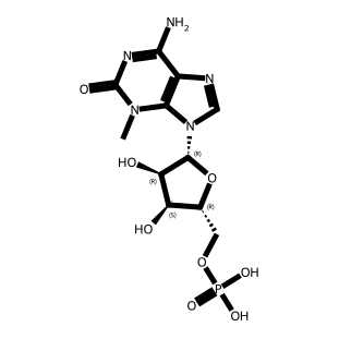 Cn1c(=O)nc(N)c2ncn([C@@H]3O[C@H](COP(=O)(O)O)[C@@H](O)[C@H]3O)c21